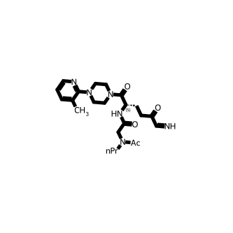 CCCN(CC(=O)N[C@@H](CCC(=O)C=N)C(=O)N1CCN(c2ncccc2C)CC1)C(C)=O